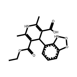 CCOC(=O)C1=C(C)NC(C)=C(C(=O)O)C1c1cccc2c1NOO2